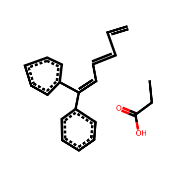 C=C/C=C/C=C(c1ccccc1)c1ccccc1.CCC(=O)O